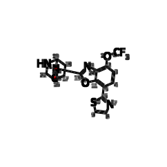 FC(F)(F)Oc1ccc(-c2nccs2)c2oc(N3CC4CCC(C3)NC4)nc12